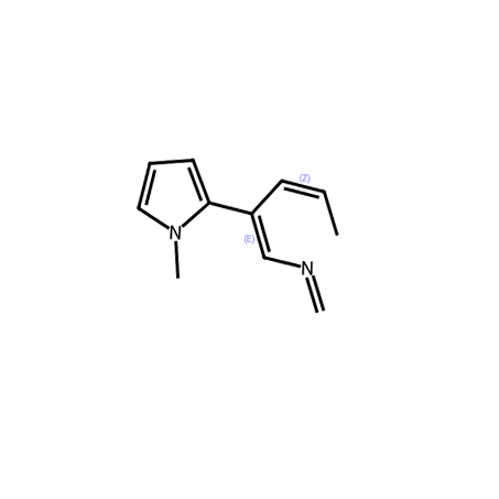 C=N/C=C(\C=C/C)c1cccn1C